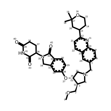 COC[C@@H]1CN(Cc2ccc3nc(C4CCOC(C)(C)C4)ccc3c2)C[C@H]1Oc1ccc2c(c1)CN(C1CCC(=O)NC1=O)C2=O